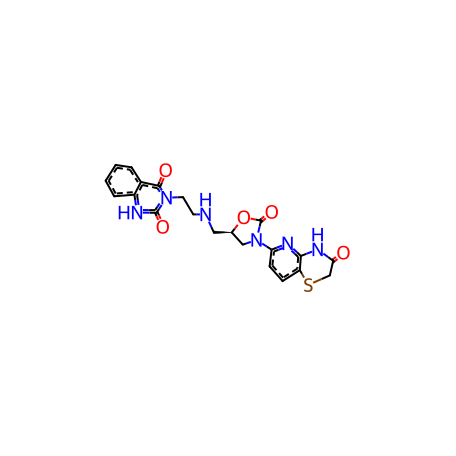 O=C1CSc2ccc(N3C[C@@H](CNCCn4c(=O)[nH]c5ccccc5c4=O)OC3=O)nc2N1